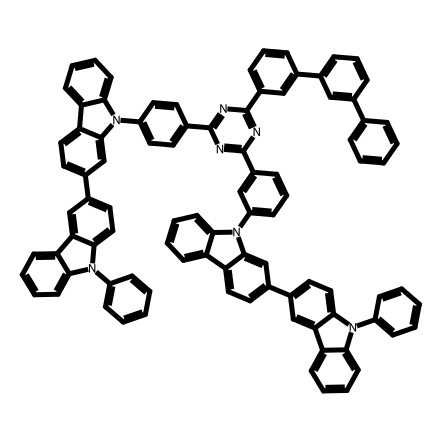 c1ccc(-c2cccc(-c3cccc(-c4nc(-c5ccc(-n6c7ccccc7c7ccc(-c8ccc9c(c8)c8ccccc8n9-c8ccccc8)cc76)cc5)nc(-c5cccc(-n6c7ccccc7c7ccc(-c8ccc9c(c8)c8ccccc8n9-c8ccccc8)cc76)c5)n4)c3)c2)cc1